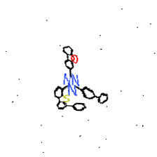 c1ccc(-c2ccc(-c3nc(-c4ccc5c(c4)oc4ccccc45)nc(-c4cccc5c4sc4c(-c6ccccc6)cccc45)n3)cc2)cc1